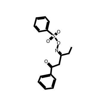 CCC(CC(=O)c1ccccc1)=NOS(=O)(=O)c1ccccc1